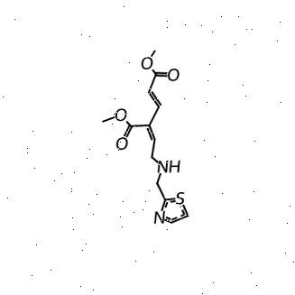 COC(=O)C=CC(=CCNCc1nccs1)C(=O)OC